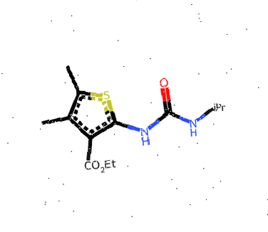 CCOC(=O)c1c(NC(=O)NC(C)C)sc(C)c1C